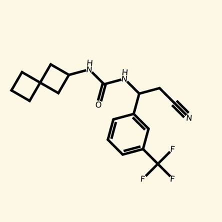 N#CCC(NC(=O)NC1CC2(CCC2)C1)c1cccc(C(F)(F)F)c1